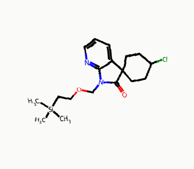 C[Si](C)(C)CCOCN1C(=O)C2(CCC(Cl)CC2)c2cccnc21